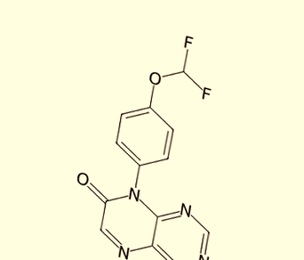 O=c1cnc2cncnc2n1-c1ccc(OC(F)F)cc1